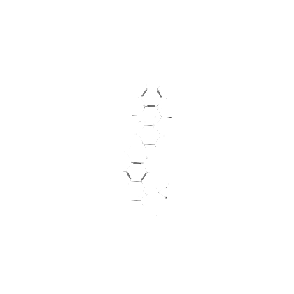 C[C@H](C(=O)O)[C@H](c1ccc2c(c1)OC1(CC2)CCN([C@H](C)c2cc(Cl)ccc2OC(F)(F)F)CC1)C1CC1